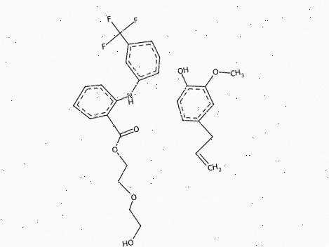 C=CCc1ccc(O)c(OC)c1.O=C(OCCOCCO)c1ccccc1Nc1cccc(C(F)(F)F)c1